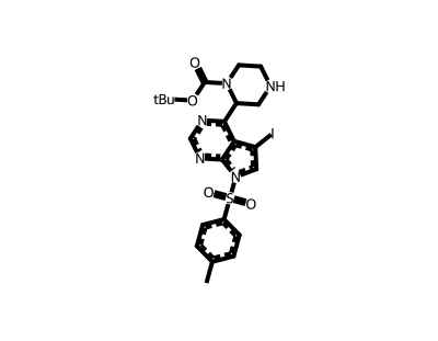 Cc1ccc(S(=O)(=O)n2cc(I)c3c(C4CNCCN4C(=O)OC(C)(C)C)ncnc32)cc1